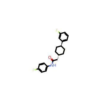 O=C(C[C@H]1CC[C@H](c2cccc(F)c2)CC1)Nc1ccc(F)cc1